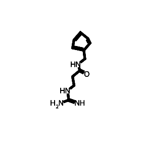 N=C(N)NCCC(=O)NCc1ccccc1